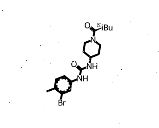 CC[C@H](C)C(=O)N1CCC(NC(=O)Nc2ccc(C)c(Br)c2)CC1